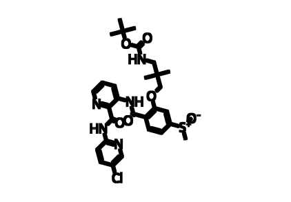 C[S+]([O-])c1ccc(C(=O)Nc2cccnc2C(=O)Nc2ccc(Cl)cn2)c(OCC(C)(C)CNC(=O)OC(C)(C)C)c1